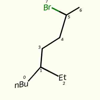 CCCCC(CC)CCC(C)Br